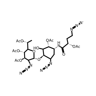 CC(=O)O[C@@H](CCN=[N+]=[N-])C(=O)N[C@@H]1CC(N=[N+]=[N-])[C@@H](O[C@H]2OC([C@@H](C)OC(C)=O)[C@@H](OC(C)=O)[C@H](OC(C)=O)C2N=[N+]=[N-])C(O)[C@@H]1OC(C)=O